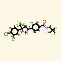 CC(C)(C)CNC(=O)c1ccc(C2=NOC(c3ccc(Cl)c(Cl)c3)(C(F)(F)F)C2)cc1